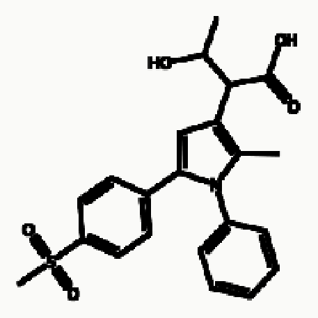 Cc1c(C(C(=O)O)C(C)O)cc(-c2ccc(S(C)(=O)=O)cc2)n1-c1ccccc1